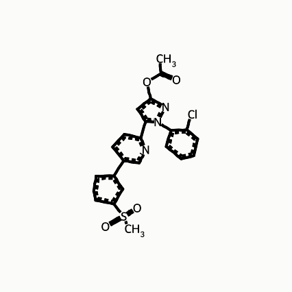 CC(=O)Oc1cc(-c2ccc(-c3cccc(S(C)(=O)=O)c3)cn2)n(-c2ccccc2Cl)n1